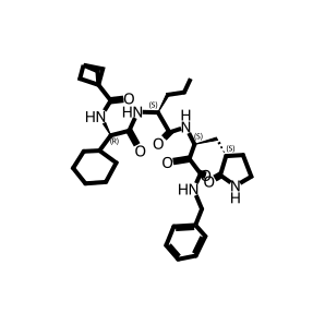 CCC[C@H](NC(=O)[C@H](NC(=O)C12CC(C1)C2)C1CCCCC1)C(=O)N[C@@H](C[C@@H]1CCNC1=O)C(=O)C(=O)NCc1ccccc1